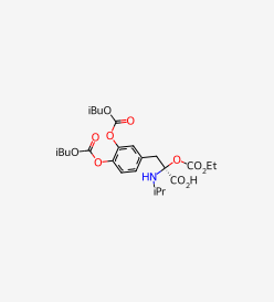 CCOC(=O)O[C@](Cc1ccc(OC(=O)OCC(C)C)c(OC(=O)OCC(C)C)c1)(NC(C)C)C(=O)O